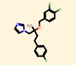 CC(CCc1ccc(F)cc1)(Cn1ccnc1)OCc1ccc(Cl)c(Cl)c1